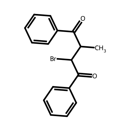 C[C](C(=O)c1ccccc1)C(Br)C(=O)c1ccccc1